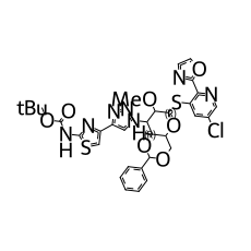 COC1C(n2cc(-c3csc(NC(=O)OC(C)(C)C)n3)nn2)[C@H]2OC(c3ccccc3)OCC2O[C@@H]1Sc1cc(Cl)cnc1-c1ncco1